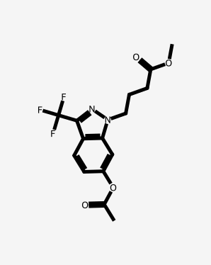 COC(=O)CCCn1nc(C(F)(F)F)c2ccc(OC(C)=O)cc21